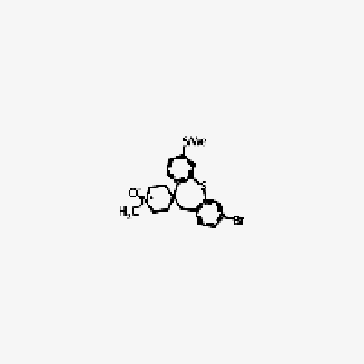 CSc1ccc2c(c1)Sc1cc(Br)ccc1CC21CC[N+](C)([O-])CC1